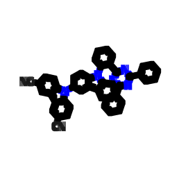 N#Cc1ccc2c(c1)c1cc(C#N)ccc1n2-c1ccc2c(c1)c1ccccc1n2-c1ccccc1-c1nc(-c2ccccc2)nc(-c2ccccc2)n1